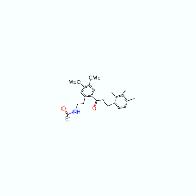 CCC(=O)NCCc1cc(OC)c(OC)cc1C(=O)CCc1ccc(C)c(C)c1C